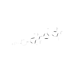 CCCC1CCC(c2cc(F)c(/C(F)=C(\F)c3ccc(-c4cc(F)c(F)c(F)c4)c(F)c3)c(F)c2)CC1